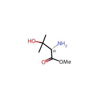 COC(=O)[C@@H](N)C(C)(C)O